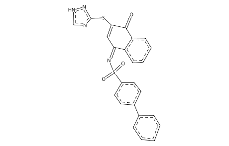 O=C1C(Sc2nc[nH]n2)=C/C(=N/S(=O)(=O)c2ccc(-c3ccccc3)cc2)c2ccccc21